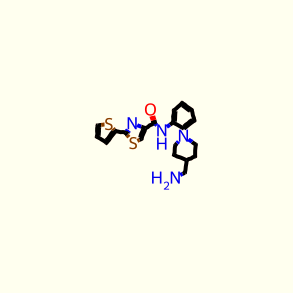 NCC1CCN(c2ccccc2NC(=O)c2csc(-c3cccs3)n2)CC1